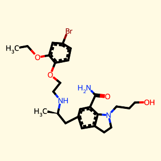 CCOc1cc(Br)ccc1OCCN[C@H](C)Cc1cc2c(c(C(N)=O)c1)N(CCCO)CC2